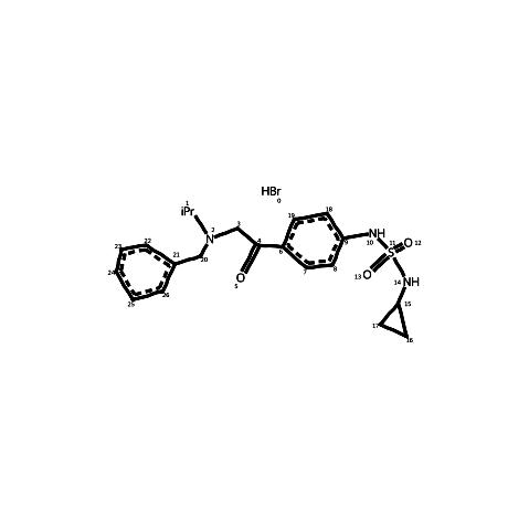 Br.CC(C)N(CC(=O)c1ccc(NS(=O)(=O)NC2CC2)cc1)Cc1ccccc1